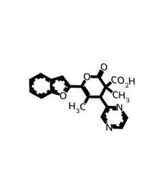 CC1=C(c2cc3ccccc3o2)OC(=O)C(C)(C(=O)O)C1c1cnccn1